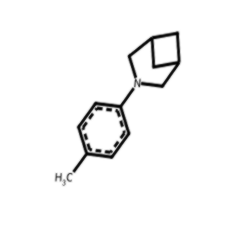 Cc1ccc(N2CC3CC(C3)C2)cc1